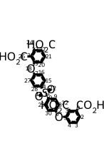 O=C(O)c1cccc(Oc2ccc(S(=O)(=O)c3ccc(Oc4cccc(C(=O)O)c4C(=O)O)cc3)cc2)c1C(=O)O